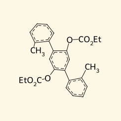 CCOC(=O)Oc1cc(-c2ccccc2C)c(OC(=O)OCC)cc1-c1ccccc1C